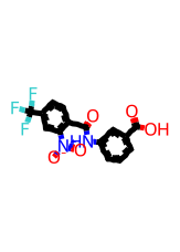 O=C(O)c1cccc(NC(=O)c2ccc(C(F)(F)F)cc2[N+](=O)[O-])c1